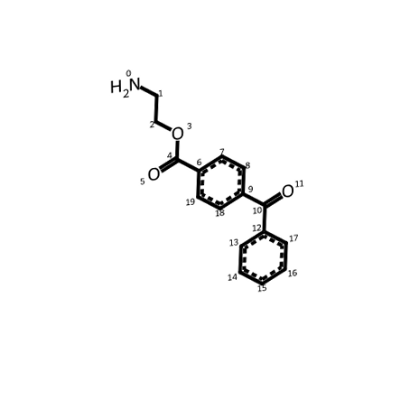 NCCOC(=O)c1ccc(C(=O)c2ccccc2)cc1